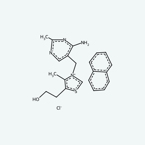 Cc1ncc(C[n+]2csc(CCO)c2C)c(N)n1.[Cl-].c1ccc2ccccc2c1